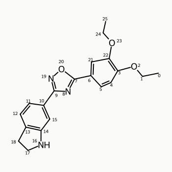 CCOc1ccc(-c2nc(-c3ccc4c(c3)NCC4)no2)cc1OCC